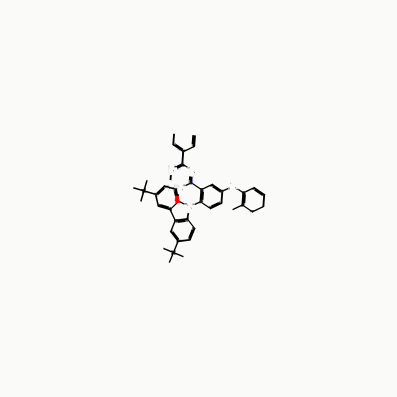 C=CC(=C\C)/C(=N/C)/N=C(\NC)c1cc(NC2=C(C)[C@@H](C)CC=C2)ccc1-n1c2ccc(C(C)(C)C)cc2c2cc(C(C)(C)C)ccc21